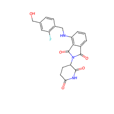 O=C1CCC(N2C(=O)c3cccc(NCc4ccc(CO)cc4F)c3C2=O)C(=O)N1